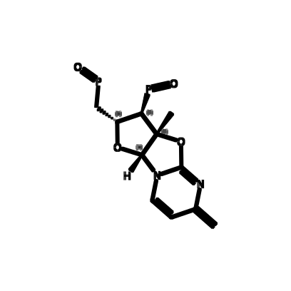 C=C1C=CN2C(=N1)O[C@@]1(C)[C@H](P=O)[C@@H](CP=O)O[C@@H]21